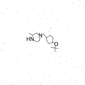 CC1CN(CC2CCC(OC(C)(C)C)CC2)CCN1